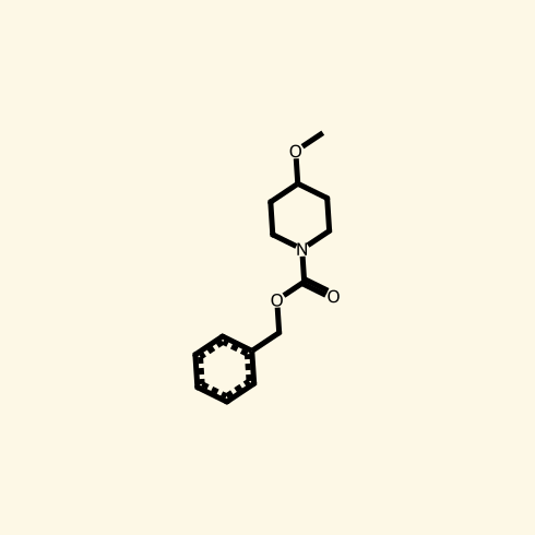 COC1CCN(C(=O)OCc2ccccc2)CC1